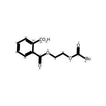 CCC(C)C(=O)OCCOC(=O)c1ccccc1C(=O)O